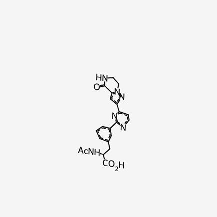 CC(=O)N[C@@H](Cc1cccc(-c2nccc(-c3cc4n(n3)CCNC4=O)n2)c1)C(=O)O